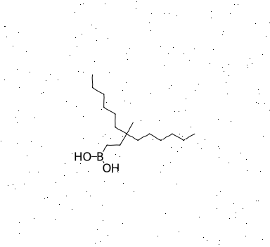 CCCCCCC(C)(CCCCCC)CCB(O)O